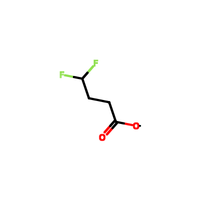 [O]C(=O)CCC(F)F